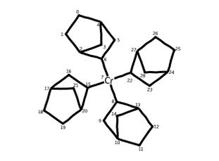 C1CC2CC1C[CH]2[Cr]([CH]1CC2CCC1C2)([CH]1CC2CCC1C2)[CH]1CC2CCC1C2